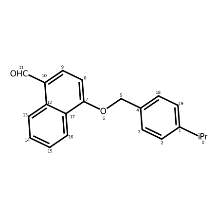 CC(C)c1ccc(COc2ccc(C=O)c3ccccc23)cc1